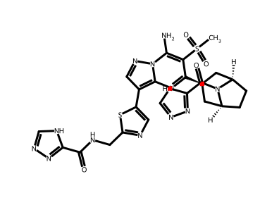 CS(=O)(=O)c1c([C@H]2C[C@H]3CC[C@@H](C2)N3C(=O)c2nnc[nH]2)nc2c(-c3cnc(CNC(=O)c4nnc[nH]4)s3)cnn2c1N